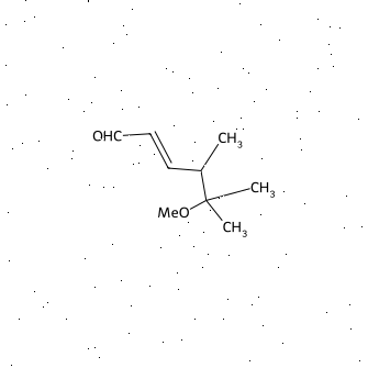 COC(C)(C)C(C)C=CC=O